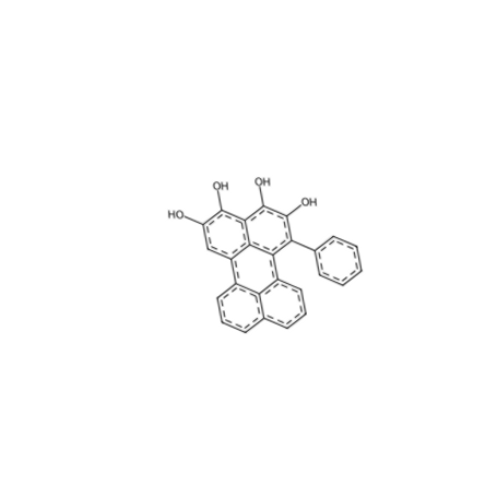 Oc1cc2c3cccc4cccc(c5c(-c6ccccc6)c(O)c(O)c(c1O)c25)c43